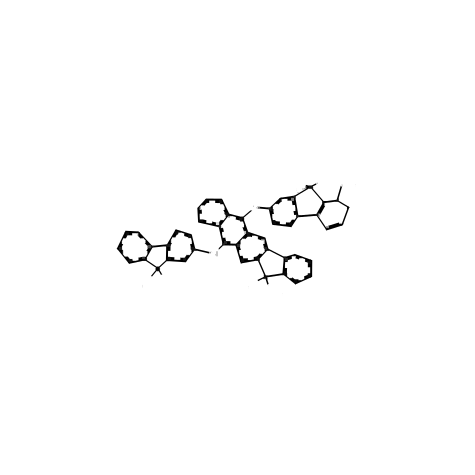 CC1CC=CC2=C1C(C)(C)c1cc(Nc3c4ccccc4c(Nc4ccc5c(c4)C(C)(C)c4ccccc4-5)c4cc5c(cc34)-c3ccccc3C5(C)C)ccc12